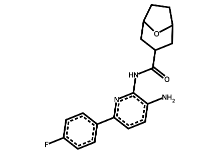 Nc1ccc(-c2ccc(F)cc2)nc1NC(=O)C1CC2CCC(C1)O2